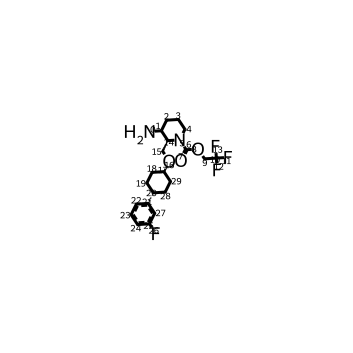 NC1CCCN(C(=O)OCC(F)(F)F)[C@H]1CO[C@H]1CC[C@@H](c2cccc(F)c2)CC1